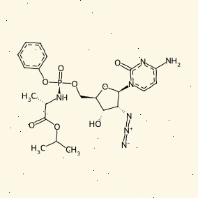 CC(C)OC(=O)[C@H](C)N[P@@](=O)(OC[C@H]1O[C@@H](n2ccc(N)nc2=O)[C@H](N=[N+]=[N-])[C@@H]1O)Oc1ccccc1